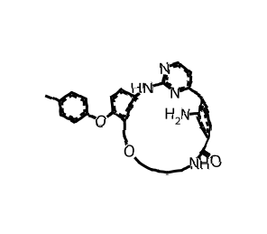 Cc1ccc(Oc2ccc3cc2COCCCCNC(=O)c2ccc(c(N)c2)-c2ccnc(n2)N3)cc1